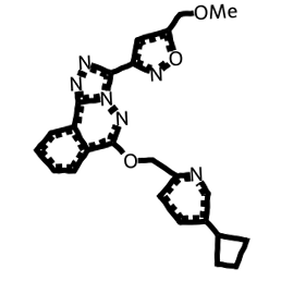 COCc1cc(-c2nnc3c4ccccc4c(OCc4ccc(C5CCC5)cn4)nn23)no1